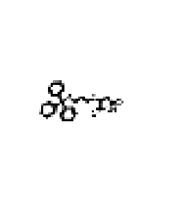 O=C1CC(OCCCSC(c2ccccc2)(c2ccccc2)c2ccccc2)C(=O)N1